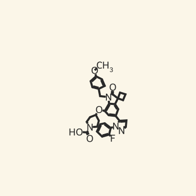 COc1ccc(CN2C(=O)C3(CCC3)c3cc(-c4ccnn4-c4ccccc4F)cc(OC4CCN(C(=O)O)CC4)c32)cc1